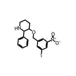 O=[N+]([O-])c1cc(I)cc(COC2CCCNC2c2ccccc2)c1